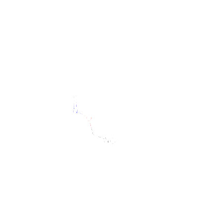 O=NCON=S